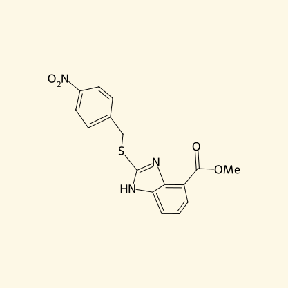 COC(=O)c1cccc2[nH]c(SCc3ccc([N+](=O)[O-])cc3)nc12